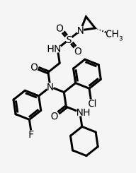 C[C@H]1CN1S(=O)(=O)NCC(=O)N(c1cccc(F)c1)C(C(=O)NC1CCCCC1)c1ccccc1Cl